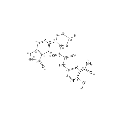 COc1ncc(NC(=O)C(=O)N2CC(C)CCC2c2ccc3c(c2)C(=O)NC3)cc1C(N)=O